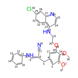 COc1cc(CC(C#N)=CNc2ccccc2)cc(OCCNc2ccnc3cc(Cl)ccc23)c1OC